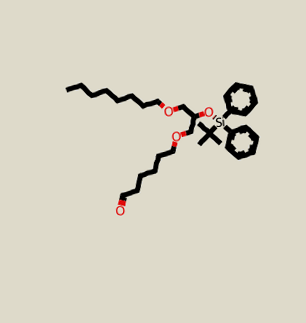 CCCCCCCCOCC(COCCCCCC=O)O[Si](c1ccccc1)(c1ccccc1)C(C)(C)C